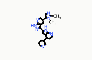 Cc1ncc(-c2cnc3[nH]nc(-c4cc5c(-c6cccnc6)ccnc5[nH]4)c3c2)n1C